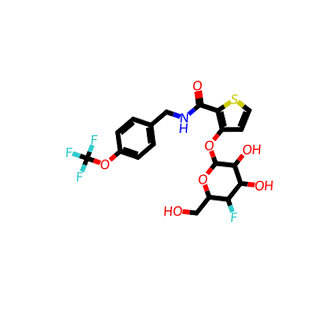 O=C(NCc1ccc(OC(F)(F)F)cc1)c1sccc1OC1OC(CO)C(F)C(O)C1O